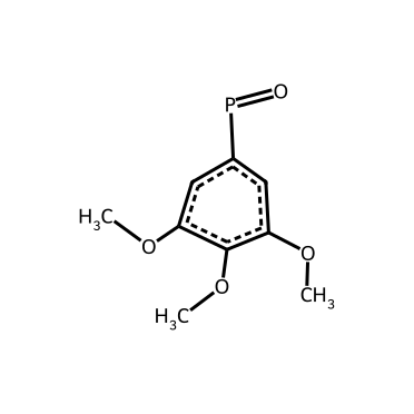 COc1cc(P=O)cc(OC)c1OC